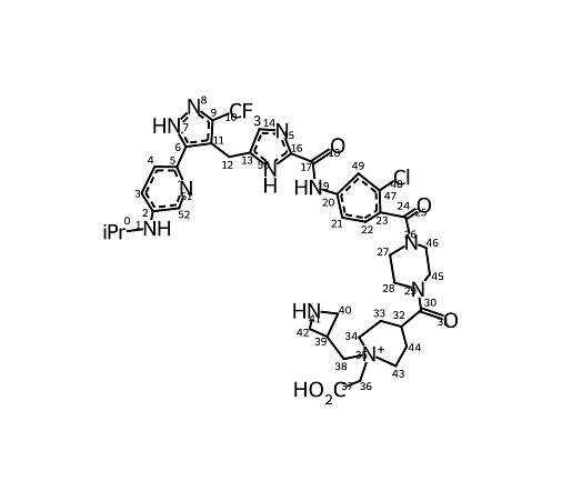 CC(C)Nc1ccc(-c2[nH]nc(C(F)(F)F)c2Cc2cnc(C(=O)Nc3ccc(C(=O)N4CCN(C(=O)C5CC[N+](CC(=O)O)(CC6CNC6)CC5)CC4)c(Cl)c3)[nH]2)nc1